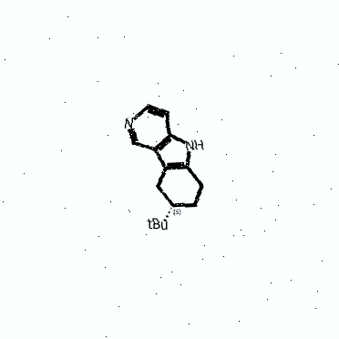 CC(C)(C)[C@H]1CCc2[nH]c3ccncc3c2C1